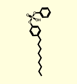 CCCCCCCCCc1ccc(OP(=O)(O)Oc2ccccc2)cc1